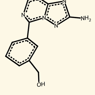 Nc1nc2ccnc(-c3cccc(CO)c3)n2n1